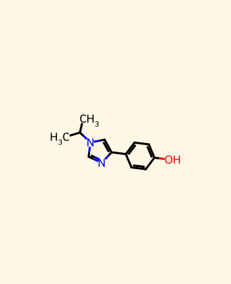 CC(C)n1cnc(-c2ccc(O)cc2)c1